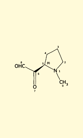 CN1CCC[C@@H]1C(=O)C=O